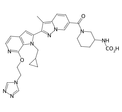 Cc1c(-c2cc3ccnc(OCCn4cnnc4)c3n2CC2CC2)nn2cc(C(=O)N3CCCC(NC(=O)O)C3)ccc12